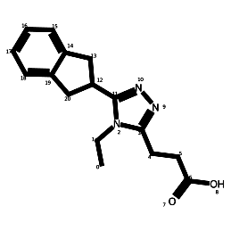 CCn1c(CCC(=O)O)nnc1C1Cc2ccccc2C1